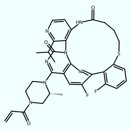 C=CC(=O)N1CCN(c2nc(=O)n3c4nc(c(F)cc24)-c2c(F)cccc2SCCCC(=O)Nc2ccnc(C(C)C)c2-3)[C@H](C)C1